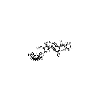 O=P(O)(O)CP(=O)(O)OC[C@H]1O[C@@H](c2cnc3c(NC4CC5CCC4C5)cc(Cl)nn23)[C@H](O)[C@@H]1O